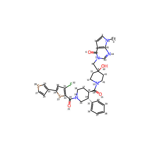 CCn1ccc2c(=O)n(CC3(O)CCN(C(=O)[C@@H]4CCN(C(=O)c5sc(-c6ccsc6)cc5F)C[C@H]4c4ccccc4)CC3)cnc21